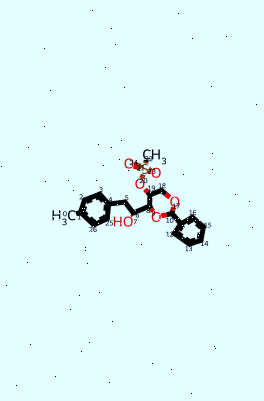 Cc1ccc(C[C@@H](O)C2OC(c3ccccc3)OCC2OS(C)(=O)=O)cc1